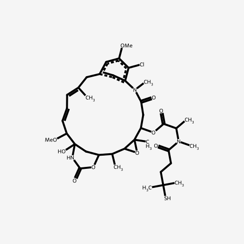 COc1cc2cc(c1Cl)N(C)C(=O)CC(OC(=O)C(C)N(C)C(=O)CCC(C)(C)S)C1(C)OC1C(C)C1CC(O)(NC(=O)O1)C(OC)/C=C/C=C(\C)C2